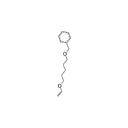 C=COCCCCCOCc1ccccc1